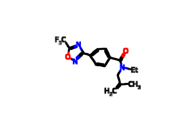 C=C(C)CN(CC)C(=O)c1ccc(-c2noc(C(F)(F)F)n2)cc1